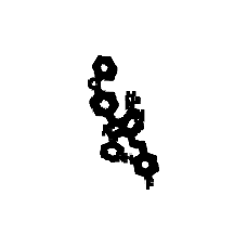 Nc1ncc(/C=C/c2ccc(F)cc2)c2c1c(-c1ccc(Oc3ccccc3)cc1)nn2C1CCCNC1